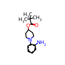 CC(C)(C)C(=O)OC1CCN(c2ccccc2N)CC1